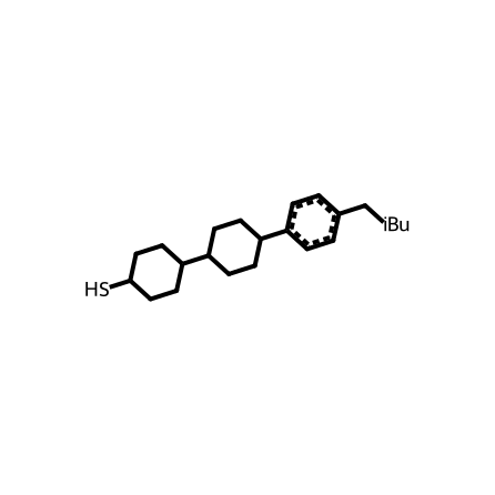 CCC(C)Cc1ccc(C2CCC(C3CCC(S)CC3)CC2)cc1